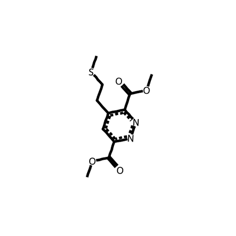 COC(=O)c1cc(CCSC)c(C(=O)OC)nn1